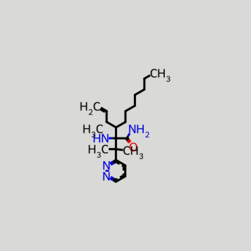 C=CCC(CCCCCCC)C(NC)(C(N)=O)C(C)(C)c1cccnn1